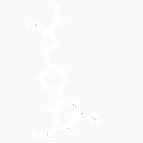 CNc1cc(-c2ccc(/C=C/C(=O)OC)cc2)nc(N)n1